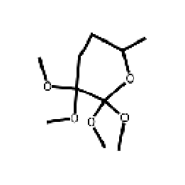 COC1(OC)CCC(C)OC1(OC)OC